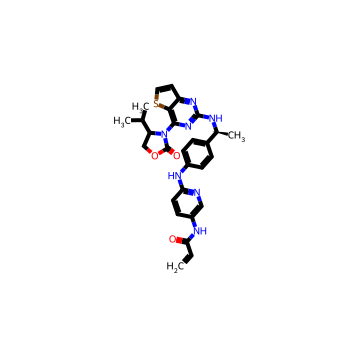 C=CC(=O)Nc1ccc(Nc2ccc([C@H](C)Nc3nc(N4C(=O)OCC4C(C)C)c4sccc4n3)cc2)nc1